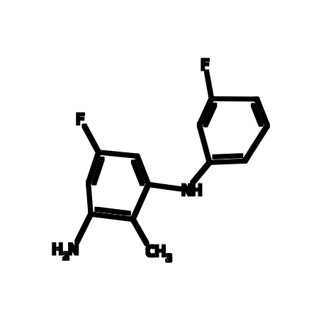 Cc1c(N)cc(F)cc1Nc1cccc(F)c1